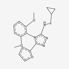 COc1cccc(OC)c1-n1c(NSC2CC2)nnc1-c1ccco1